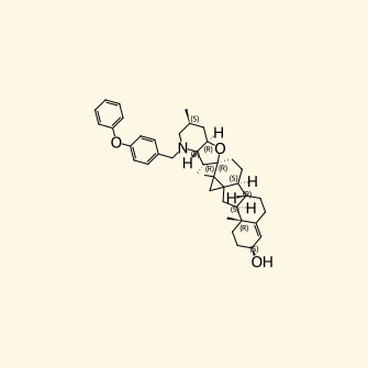 C[C@H]1C[C@H]2O[C@]3(CC[C@H]4[C@@H]5CCC6=C[C@@H](O)CC[C@]6(C)[C@H]5CC45CC53C)[C@H](C)[C@@H]2N(Cc2ccc(Oc3ccccc3)cc2)C1